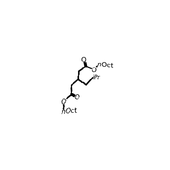 CCCCCCCCOC(=O)CC(CC(=O)OCCCCCCCC)CC(C)C